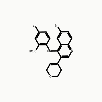 O=C(O)c1cc(Cl)ccc1Nc1c(C2=CCOCC2)cnc2ccc(Br)cc12